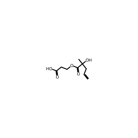 C=CCC(C)(O)C(=O)OCCC(=O)O